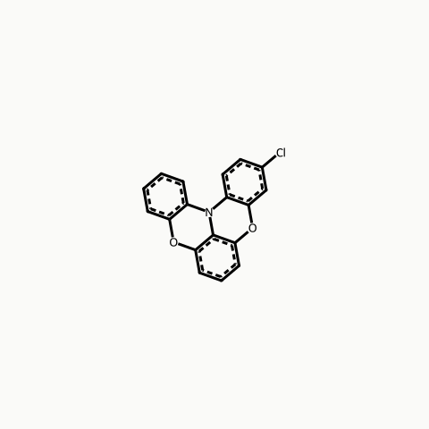 Clc1ccc2c(c1)Oc1cccc3c1N2c1ccccc1O3